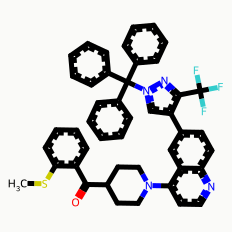 CSc1ccccc1C(=O)C1CCN(c2ccnc3ccc(-c4cn(C(c5ccccc5)(c5ccccc5)c5ccccc5)nc4C(F)(F)F)cc23)CC1